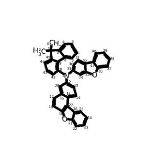 CC1(C)c2ccccc2-c2c(N(c3ccc4c(ccc5oc6ccccc6c54)c3)c3ccc4c(c3)oc3ccccc34)cccc21